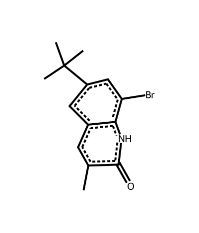 Cc1cc2cc(C(C)(C)C)cc(Br)c2[nH]c1=O